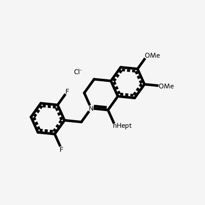 CCCCCCCC1=[N+](Cc2c(F)cccc2F)CCc2cc(OC)c(OC)cc21.[Cl-]